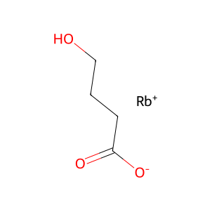 O=C([O-])CCCO.[Rb+]